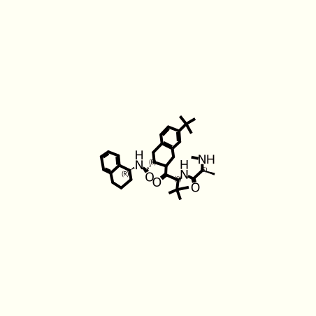 CN[C@@H](C)C(=O)N[C@H](C(=O)C1Cc2cc(C(C)(C)C)ccc2C[C@H]1C(=O)N[C@@H]1CCCc2ccccc21)C(C)(C)C